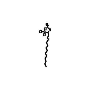 CCCCCCCCCCCCCC(N=C=O)[Si](Cl)(Cl)Cl